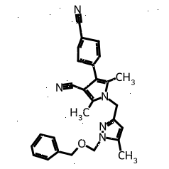 Cc1cc(Cn2c(C)c(C#N)c(-c3ccc(C#N)cc3)c2C)nn1COCc1ccccc1